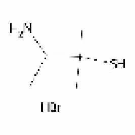 Br.CC(N)C(C)(C)S